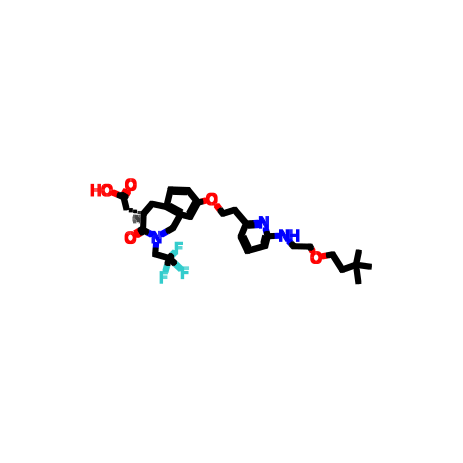 CC(C)(C)CCOCCNc1cccc(CCOc2ccc3c(c2)CN(CC(F)(F)F)C(=O)[C@H](CC(=O)O)C3)n1